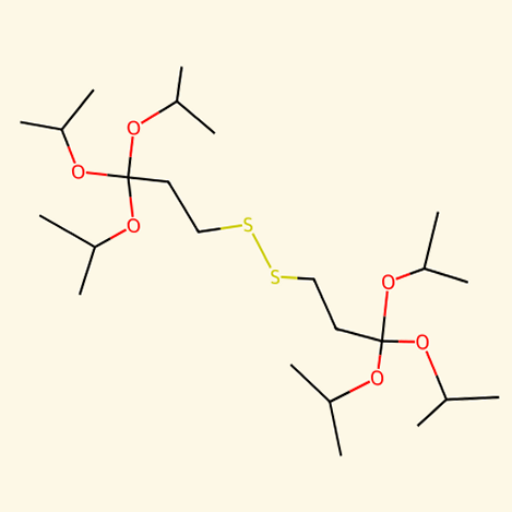 CC(C)OC(CCSSCCC(OC(C)C)(OC(C)C)OC(C)C)(OC(C)C)OC(C)C